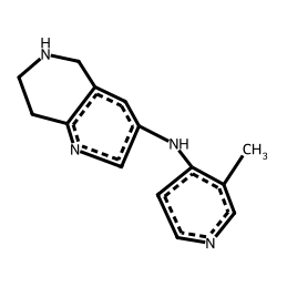 Cc1cnccc1Nc1cnc2c(c1)CNCC2